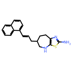 Nc1nc2c(s1)NCC(CC=Cc1cccc3ccccc13)CC2